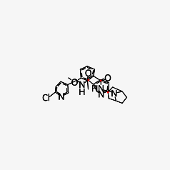 COc1cccc(C(=O)NC2CC3CCC(C2)N3c2ccc(C(=O)NCc3ccc(Cl)nc3)cn2)c1C